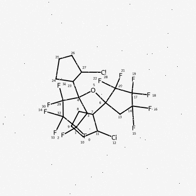 FC1(F)CC(OC2(C3CCCC3Cl)CC(F)(F)C(F)(F)C2(F)F)(C2CCCC2Cl)C(F)(F)C1(F)F